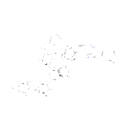 C#C/C=C1/CC2=C(C=CC=CC2)O/C1=C/Cc1cc(C2C=CC=C3Oc4ccc(-c5cccc(-c6cccc(-c7ccccc7)c6)c5)cc4C32)nc(-c2ccccc2)n1